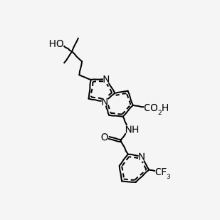 CC(C)(O)CCc1cn2cc(NC(=O)c3cccc(C(F)(F)F)n3)c(C(=O)O)cc2n1